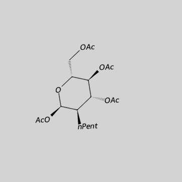 CCCCC[C@H]1[C@@H](OC(C)=O)O[C@H](COC(C)=O)[C@@H](OC(C)=O)[C@@H]1OC(C)=O